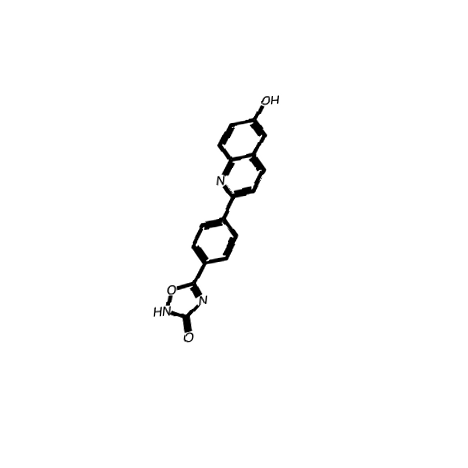 O=c1nc(-c2ccc(-c3ccc4cc(O)ccc4n3)cc2)o[nH]1